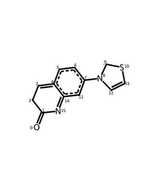 O=C1CC=c2ccc(N3[CH]SC=C3)cc2=N1